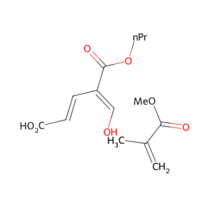 C=C(C)C(=O)OC.CCCOC(=O)C(C=CC(=O)O)=CO